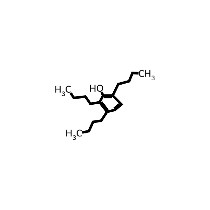 CCCCc1ccc(CCCC)c(CCCC)c1O